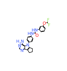 Nc1ncnc2c3c(n(-c4ccc(NC(=O)Nc5cccc(OC(F)F)c5)cc4)c12)CCC3